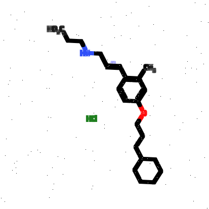 Cc1cc(OCCCC2CCCCC2)ccc1/C=C/CNCCC(=O)O.Cl